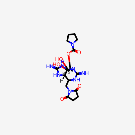 N=C1N[C@H]2C(CN3C(=O)CCC3=O)NC(=N)N3CC(OC(=O)N4CCCC4)C(O)(O)[C@]23N1